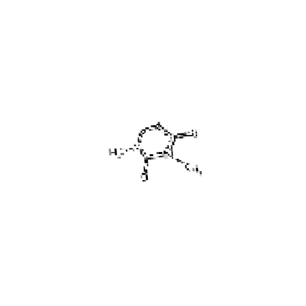 Cn1c[c]c(=O)n(C)c1=O